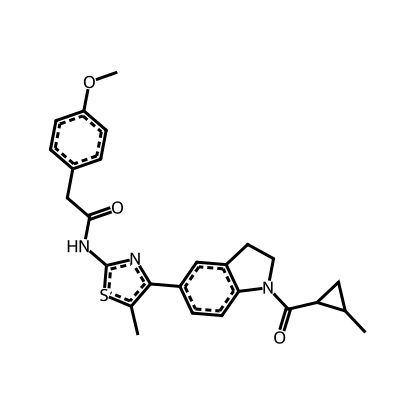 COc1ccc(CC(=O)Nc2nc(-c3ccc4c(c3)CCN4C(=O)C3CC3C)c(C)s2)cc1